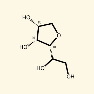 OCC(O)[C@H]1OC[C@@H](O)[C@H]1O